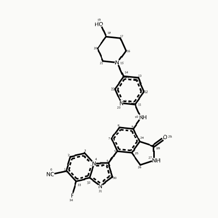 N#Cc1ccn2c(-c3ccc(Nc4ccc(N5CCC(O)CC5)cn4)c4c3CNC4=O)cnc2c1F